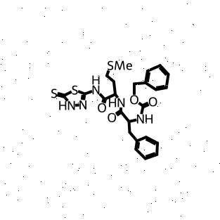 CSCCC(NC(=O)C(Cc1ccccc1)NC(=O)OCc1ccccc1)C(=O)Nc1n[nH]c(=S)s1